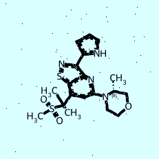 C[C@@H]1COCCN1c1cc(C(C)(C)S(C)(=O)=O)c2snc(-c3ccc[nH]3)c2n1